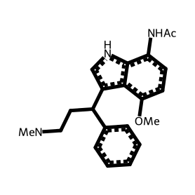 CNCCC(c1ccccc1)c1c[nH]c2c(NC(C)=O)ccc(OC)c12